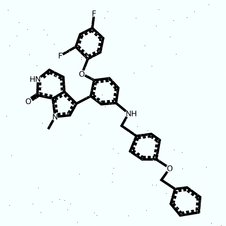 Cn1cc(-c2cc(NCc3ccc(OCc4ccccc4)cc3)ccc2Oc2ccc(F)cc2F)c2cc[nH]c(=O)c21